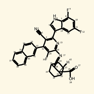 N#Cc1c(-c2c[nH]c3c(F)cc(F)cc23)nc(/N=C2\C3CCC(CC3)[C@H]2C(=O)O)c(F)c1-c1ccc2ccccc2c1